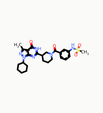 Cc1nn(C2CCCCC2)c2nc(C3CCCN(C(=O)c4cccc(NS(C)(=O)=O)c4)C3)[nH]c(=O)c12